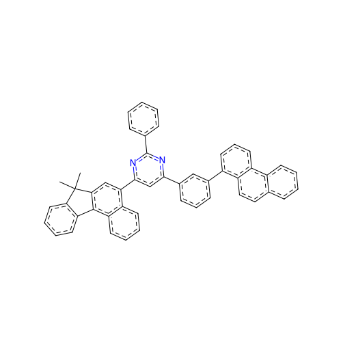 CC1(C)c2ccccc2-c2c1cc(-c1cc(-c3cccc(-c4cccc5c4ccc4ccccc45)c3)nc(-c3ccccc3)n1)c1ccccc21